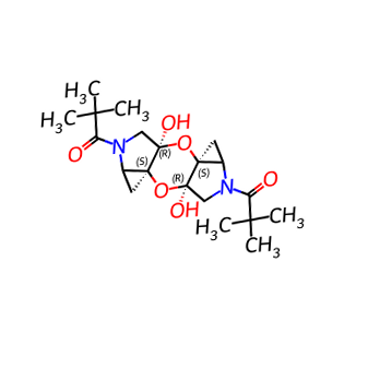 CC(C)(C)C(=O)N1C[C@@]2(O)O[C@@]34CC3N(C(=O)C(C)(C)C)C[C@@]4(O)O[C@]23CC13